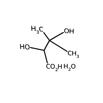 CC(C)(O)C(O)C(=O)O.O